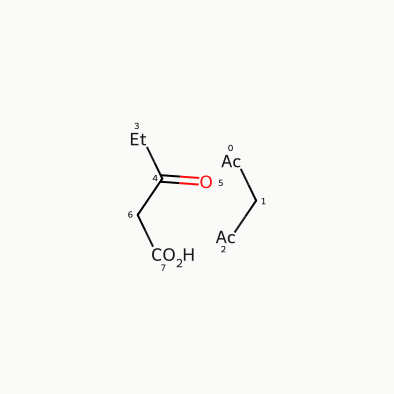 CC(=O)CC(C)=O.CCC(=O)CC(=O)O